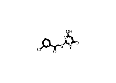 Cn1c(SCC(=O)c2cccc(Cl)c2)nc(O)cc1=O